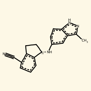 Cc1n[nH]c2ccc(N[C@H]3CCc4c(C#N)cccc43)cc12